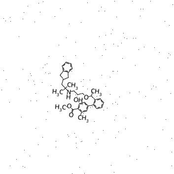 COC(=O)c1ccc(-c2ccccc2C(C)OC[C@H](O)CNC(C)(C)CC2Cc3ccccc3C2)cc1C